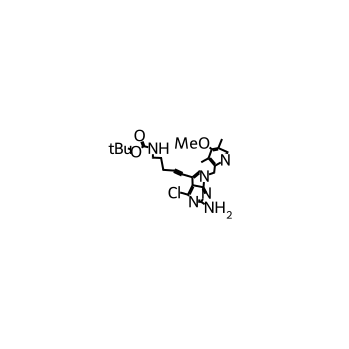 COc1c(C)cnc(Cn2cc(C#CCCCNC(=O)OC(C)(C)C)c3c(Cl)nc(N)nc32)c1C